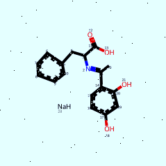 CC(=NC(Cc1ccccc1)C(=O)O)c1ccc(O)cc1O.[NaH]